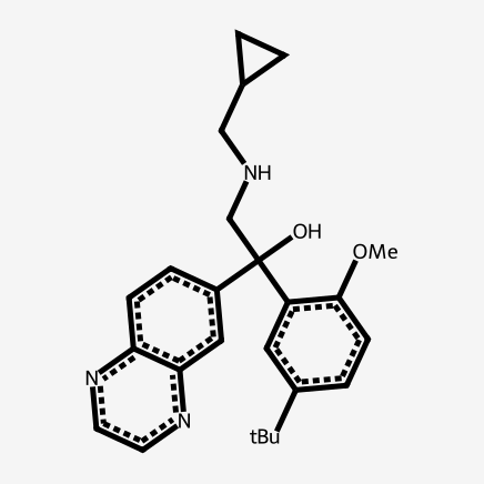 COc1ccc(C(C)(C)C)cc1C(O)(CNCC1CC1)c1ccc2nccnc2c1